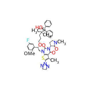 COc1ccc(F)cc1[C@H](Cn1c(=O)n([C@H]2CCN(C)C2=O)c(=O)c2c(C)c(-n3nccn3)sc21)OCCCC(C)(C)[Si](O)(c1ccccc1)c1ccccc1